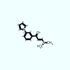 CN(C)/C=C/C(=O)c1cccc(-n2cccc2)c1